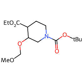 CCOC(=O)C1CCN(C(=O)OC(C)(C)C)CC1OCOC